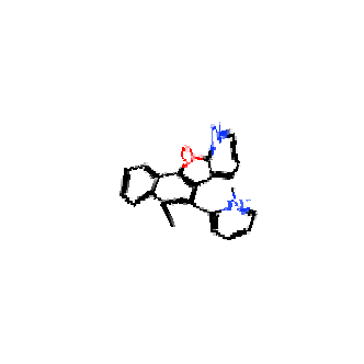 Cc1c(-c2cccc[n+]2C)c2c3cccnc3oc2c2ccccc12